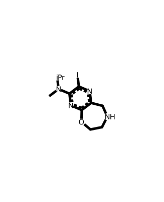 CC(C)N(C)c1nc2c(nc1I)CNCCO2